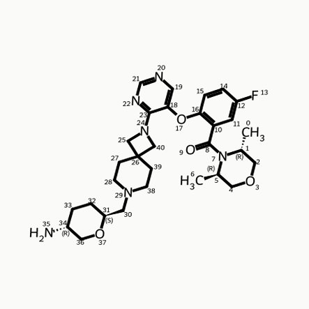 C[C@@H]1COC[C@@H](C)N1C(=O)c1cc(F)ccc1Oc1cncnc1N1CC2(CCN(C[C@@H]3CC[C@@H](N)CO3)CC2)C1